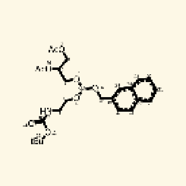 CC(=O)OCC(COP(OCCNC(=O)OC(C)(C)C)OCc1ccc2ccccc2c1)OC(C)=O